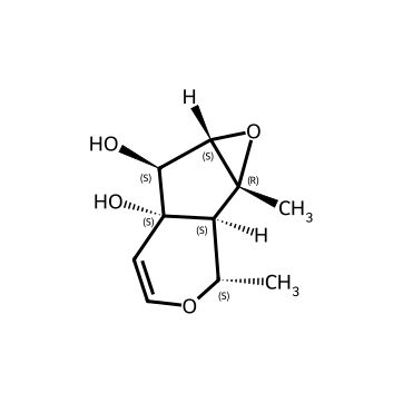 C[C@@H]1OC=C[C@@]2(O)[C@@H](O)[C@@H]3O[C@]3(C)[C@@H]12